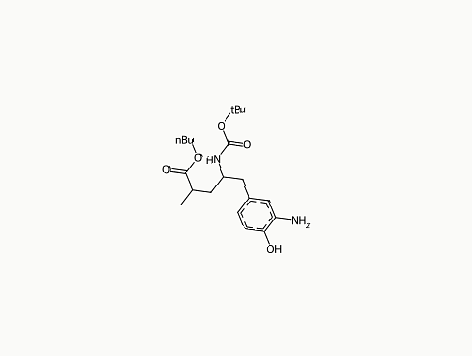 CCCCOC(=O)C(C)CC(Cc1ccc(O)c(N)c1)NC(=O)OC(C)(C)C